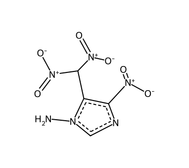 Nn1cnc([N+](=O)[O-])c1C([N+](=O)[O-])[N+](=O)[O-]